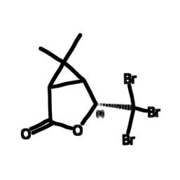 CC1(C)C2C(=O)O[C@@H](C(Br)(Br)Br)C21